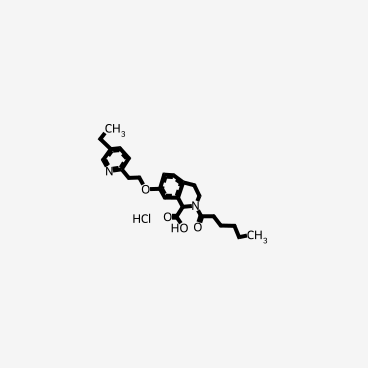 CCCCCC(=O)N1CCc2ccc(OCCc3ccc(CC)cn3)cc2C1C(=O)O.Cl